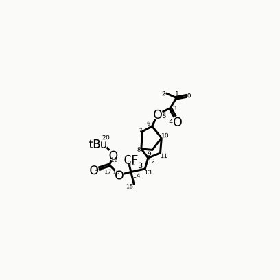 C=C(C)C(=O)OC1CC2CC1CC2CC(C)(OC(=O)OC(C)(C)C)C(F)(F)F